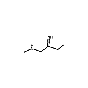 CCC(=N)CNC